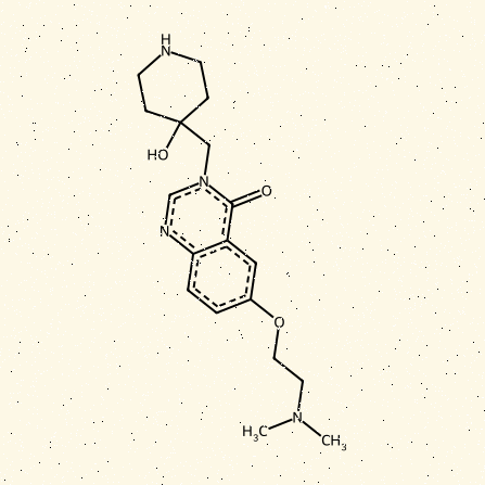 CN(C)CCOc1ccc2ncn(CC3(O)CCNCC3)c(=O)c2c1